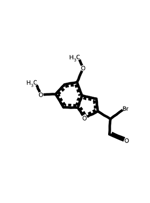 COc1cc(OC)c2cc(C(Br)C=O)oc2c1